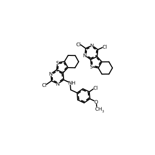 COc1ccc(CNc2nc(Cl)nc3sc4c(c23)CCCC4)cc1Cl.Clc1nc(Cl)c2c3c(sc2n1)CCCC3